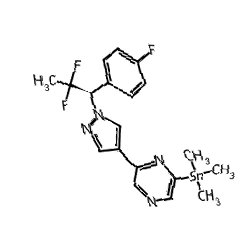 CC(F)(F)[C@@H](c1ccc(F)cc1)n1cc(-c2cnc[c]([Sn]([CH3])([CH3])[CH3])n2)cn1